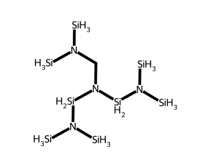 [SiH3]N([SiH3])CN([SiH2]N([SiH3])[SiH3])[SiH2]N([SiH3])[SiH3]